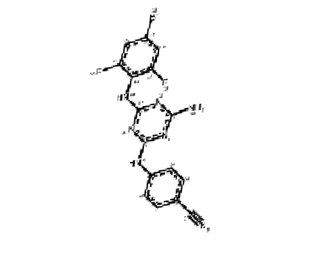 N#Cc1ccc(Nc2nc(N)nc(Nc3c(F)cc(Br)cc3F)n2)cc1